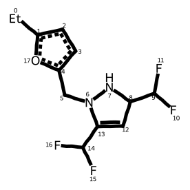 CCc1ccc(CN2NC(C(F)F)C=C2C(F)F)o1